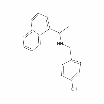 CC(NCc1ccc(O)cc1)c1cccc2ccccc12